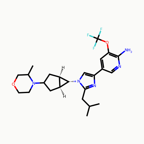 CC(C)Cc1nc(-c2cnc(N)c(OC(F)(F)F)c2)cn1[C@H]1[C@@H]2CC(N3CCOCC3C)C[C@@H]21